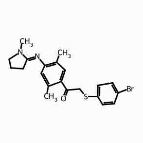 Cc1cc(C(=O)CSc2ccc(Br)cc2)c(C)cc1N=C1CCCN1C